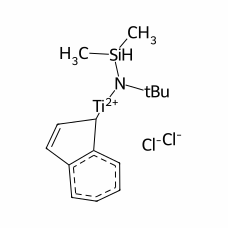 C[SiH](C)[N]([Ti+2][CH]1C=Cc2ccccc21)C(C)(C)C.[Cl-].[Cl-]